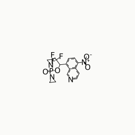 O=[N+]([O-])c1ccc(C(OP(=O)(N2CC2)N2CC2)C(F)(F)F)c2cnccc12